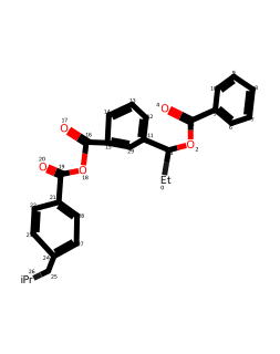 CCC(OC(=O)c1ccccc1)c1cccc(C(=O)OC(=O)c2ccc(CC(C)C)cc2)c1